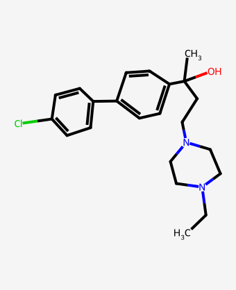 CCN1CCN(CCC(C)(O)c2ccc(-c3ccc(Cl)cc3)cc2)CC1